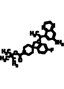 Bc1cc(C(C)OCC2(c3ccc(F)cc3)CCN(C(=O)OC(C)(C)C)CC2)c2nccnc2c1